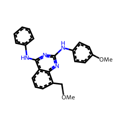 COCc1cccc2c(Nc3ccccc3)nc(Nc3ccc(OC)cc3)nc12